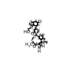 CC1CCCC(n2cnc(-c3cc(Cl)cc4cnn(CCO)c34)cc2=O)c2cc(ccn2)/C(NC(F)F)=C(/C=N)NC1=O